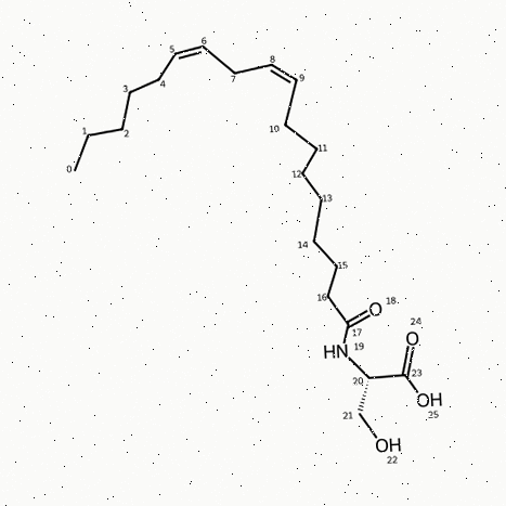 CCCCC/C=C\C/C=C\CCCCCCCC(=O)N[C@@H](CO)C(=O)O